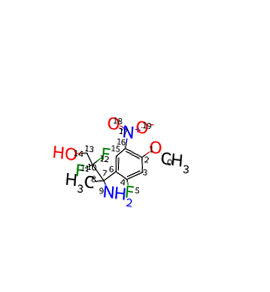 COc1cc(F)c(C(C)(N)C(F)(F)CO)cc1[N+](=O)[O-]